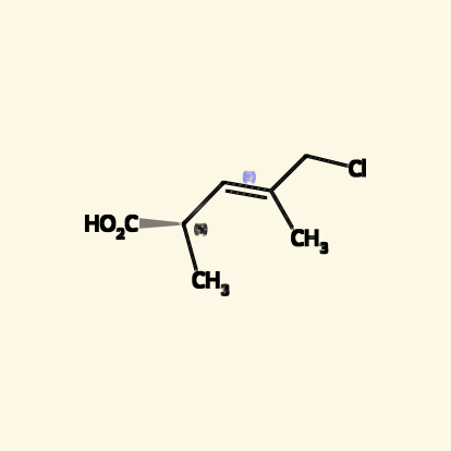 C/C(=C\[C@H](C)C(=O)O)CCl